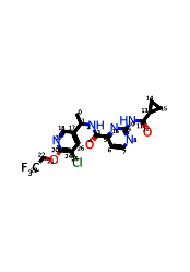 CC(NC(=O)c1ccnc(NC(=O)C2CC2)n1)c1cnc(OCC(F)(F)F)c(Cl)c1